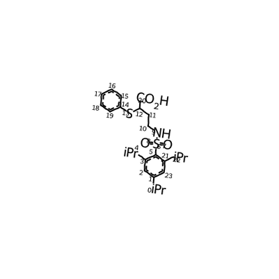 CC(C)c1cc(C(C)C)c(S(=O)(=O)NCCC(Sc2ccccc2)C(=O)O)c(C(C)C)c1